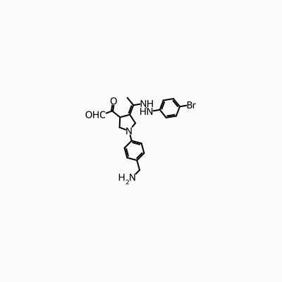 CC(NNc1ccc(Br)cc1)=C1CN(c2ccc(CN)cc2)CC1C(=O)C=O